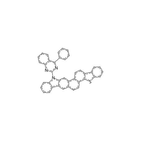 c1ccc(-c2nc(-n3c4ccccc4c4cc5ccc6c(ccc7c8ccccc8sc76)c5cc43)nc3ccccc23)cc1